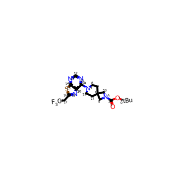 CC(C)(C)OC(=O)N1CC2(CCN(c3ncnc4sc(CC(F)(F)F)nc34)CC2)C1